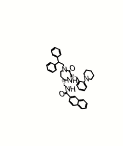 O=C(NC[C@@H]1CCN(CC(c2ccccc2)c2ccccc2)C(=O)[C@H](Cc2ccccc2N2CCCCC2)N1)c1ccc2ccccc2c1